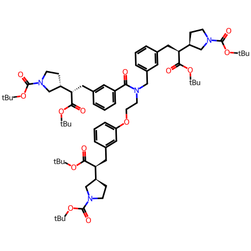 CC(C)(C)OC(=O)[C@@H](Cc1cccc(CN(CCOc2cccc(C[C@H](C(=O)OC(C)(C)C)[C@H]3CCN(C(=O)OC(C)(C)C)C3)c2)C(=O)c2cccc(C[C@H](C(=O)OC(C)(C)C)[C@H]3CCN(C(=O)OC(C)(C)C)C3)c2)c1)[C@H]1CCN(C(=O)OC(C)(C)C)C1